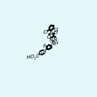 O=C(O)N1CCN(c2ccc(Nc3ncc4c(n3)OCN(c3c(Cl)cccc3Cl)C4=O)cc2F)CC1